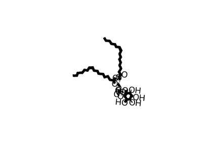 CCCCCC/C=C\CCCCCCCC(=O)OC[C@H](COP(=O)(O)OC1C(O)C(O)C(O)[C@@H](O)C1O)OC(=O)CCCCCCC/C=C\CCCCCC